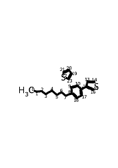 CCCCCCCCc1ccc(-c2ccsc2)cc1.c1ccsc1